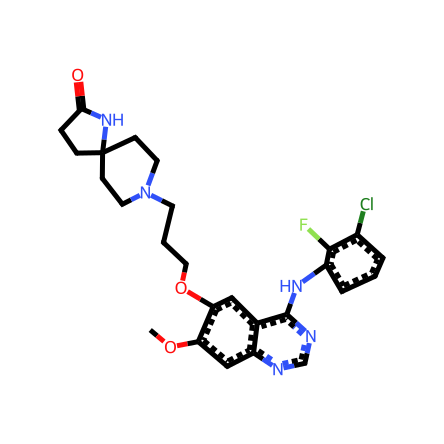 COc1cc2ncnc(Nc3cccc(Cl)c3F)c2cc1OCCCN1CCC2(CCC(=O)N2)CC1